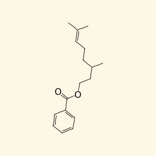 CC(C)=CCCC(C)CCOC(=O)c1ccccc1